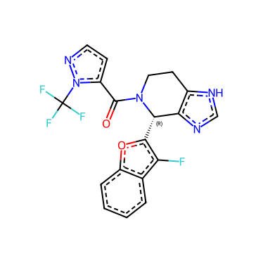 O=C(c1ccnn1C(F)(F)F)N1CCc2[nH]cnc2[C@@H]1c1oc2ccccc2c1F